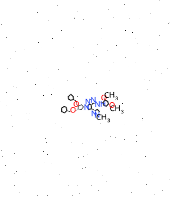 COc1ccc(CNc2ncnc3c2c(-c2ccn(C)n2)cn3[C@@H]2C[C@H](COCc3ccccc3)[C@@H](OCc3ccccc3)C2)c(OC)c1